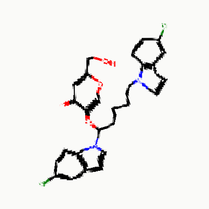 O=c1cc(CO)occ1OC(CCCCn1ccc2cc(Cl)ccc21)n1ccc2cc(Cl)ccc21